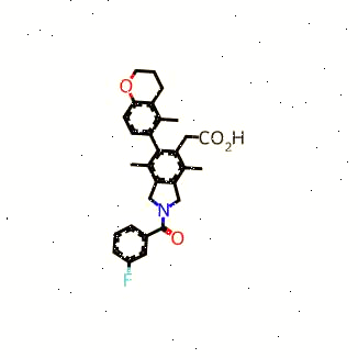 Cc1c(-c2c(C)c3c(c(C)c2CC(=O)O)CN(C(=O)c2cccc(F)c2)C3)ccc2c1CCCO2